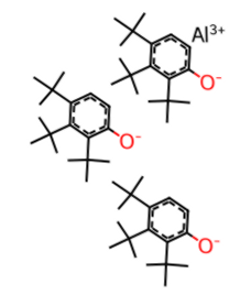 CC(C)(C)c1ccc([O-])c(C(C)(C)C)c1C(C)(C)C.CC(C)(C)c1ccc([O-])c(C(C)(C)C)c1C(C)(C)C.CC(C)(C)c1ccc([O-])c(C(C)(C)C)c1C(C)(C)C.[Al+3]